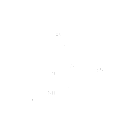 CCN1CC(COC)OC(n2ccc(=O)[nH]c2=O)C1